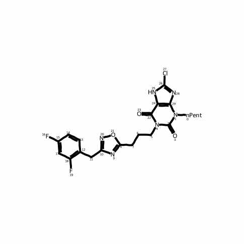 CCCCCn1c(=O)n(CCCc2nc(Cc3ccc(F)cc3F)no2)c(=O)c2[nH]c(Cl)nc21